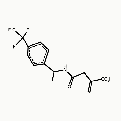 C=C(CC(=O)NC(C)c1ccc(C(F)(F)C(F)(F)F)cc1)C(=O)O